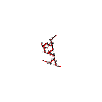 CCCCCCCCSCC(C)C(=O)OCCOC(=O)CCN(CCSCC(C)C(=O)OCCOC(=O)CCN(CCSCC(C)C(=O)OCCOC(=O)CCN1CCN(CCN(C)C)CC1)CCC(=O)OCCOC(=O)C(C)CSCCN(CCC(=O)OCCOC(=O)C(C)CSCCCCCCCC)CCC(=O)OCCOC(=O)C(C)CSCCCCCCCC)CCC(=O)OCCOC(=O)C(C)CSCCCCCC